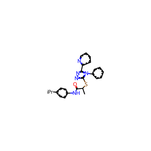 CC(Sc1nnc(-c2ccccn2)n1-c1ccccc1)C(=O)Nc1ccc(C(C)C)cc1